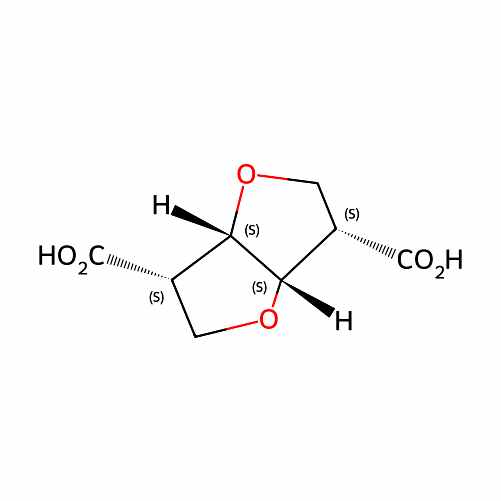 O=C(O)[C@H]1CO[C@@H]2[C@H]1OC[C@@H]2C(=O)O